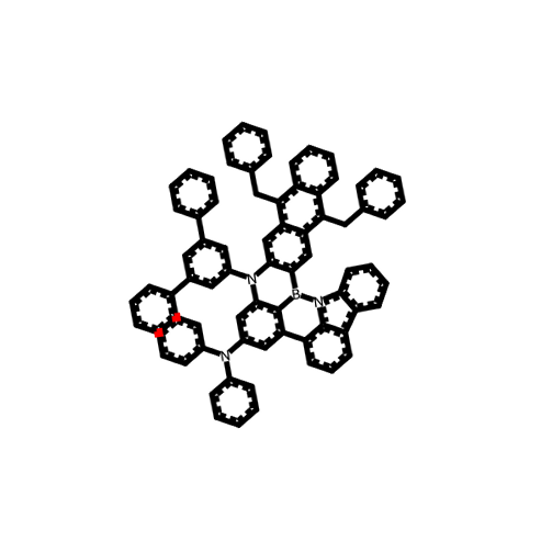 c1ccc(Cc2c3ccccc3c(Cc3ccccc3)c3cc4c(cc23)B2c3c(cc(N(c5ccccc5)c5ccccc5)cc3N4c3cc(-c4ccccc4)cc(-c4ccccc4)c3)-c3cccc4c5ccccc5n2c34)cc1